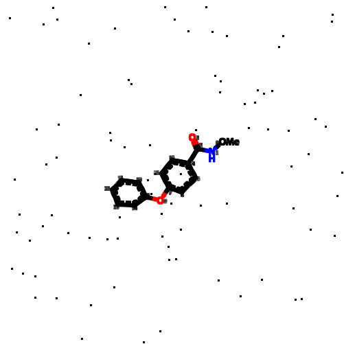 CONC(=O)c1ccc(Oc2ccccc2)cc1